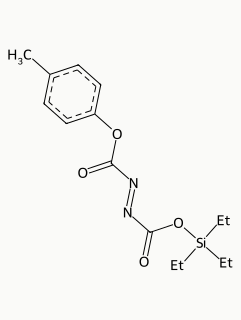 CC[Si](CC)(CC)OC(=O)/N=N/C(=O)Oc1ccc(C)cc1